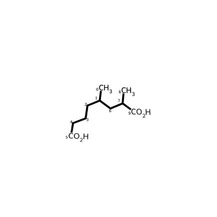 CC(CCCC(=O)O)CC(C)C(=O)O